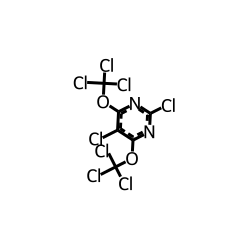 Clc1nc(OC(Cl)(Cl)Cl)c(Cl)c(OC(Cl)(Cl)Cl)n1